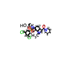 Cn1cc(C(=O)N2CCCCC2)c2ccc(N(CC(=O)O)S(=O)(=O)c3cc(Cl)cc(Cl)c3)cc21